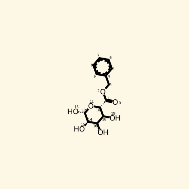 O=C(OCc1ccccc1)[C@H]1O[C@@H](O)[C@H](O)C(O)C1O